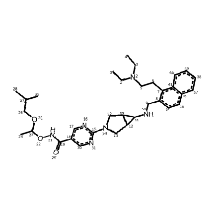 CCN(CC)CCc1c(CNC2C3CN(c4ncc(C(=O)NOC(C)OCC(C)C)cn4)CC32)ccc2ccccc12